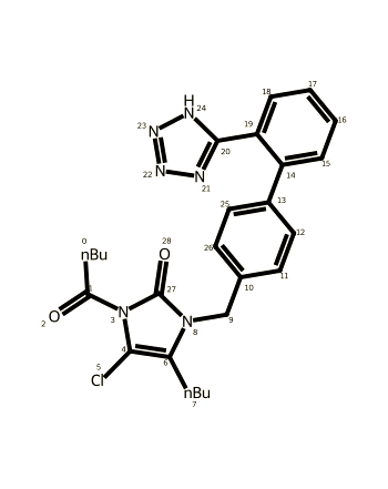 CCCCC(=O)n1c(Cl)c(CCCC)n(Cc2ccc(-c3ccccc3-c3nnn[nH]3)cc2)c1=O